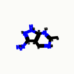 Cc1ncc2c(N)n[nH]c2n1